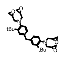 CC(C)(C)c1cc(Cc2ccc(N(CC3CO3)CC3CO3)c(C(C)(C)C)c2)ccc1N(CC1CO1)CC1CO1